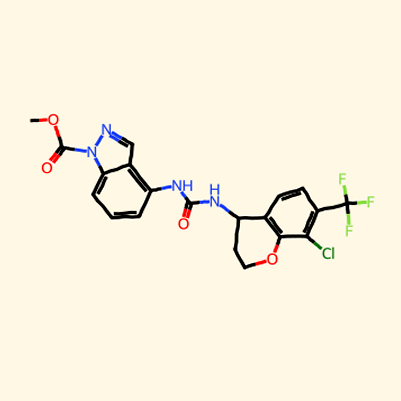 COC(=O)n1ncc2c(NC(=O)NC3CCOc4c3ccc(C(F)(F)F)c4Cl)cccc21